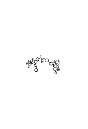 Cn1c(=O)n(C2CCC(=O)NC2=O)c2ccc(C3CCC(CNC(=O)c4ccc5c(F)c(N6CC(=O)NS6(=O)=O)c(OCc6ccccc6)cc5c4)CC3)cc21